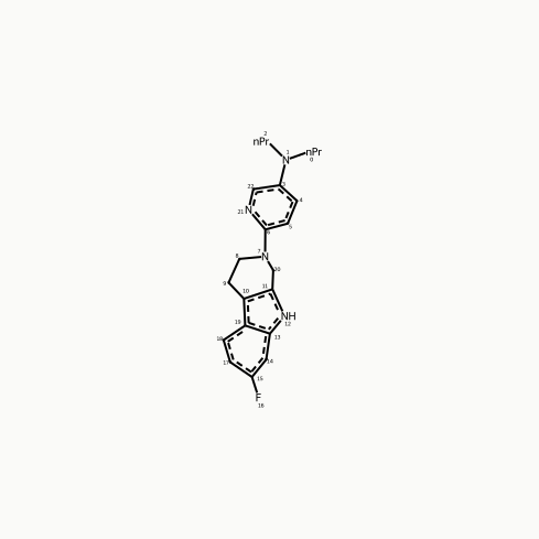 CCCN(CCC)c1ccc(N2CCc3c([nH]c4cc(F)ccc34)C2)nc1